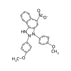 COc1ccc(N2Nc3c(cc([N+](=O)[O-])c4ccccc34)N2c2ccc(OC)cc2)cc1